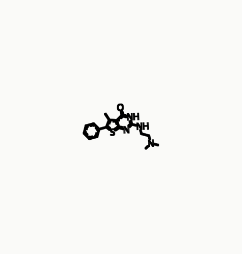 Cc1c(-c2ccccc2)sc2nc(NCCN(C)C)[nH]c(=O)c12